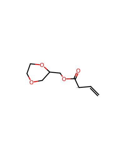 C=C[CH]C(=O)OCC1COCCO1